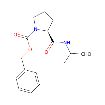 CC(C=O)NC(=O)[C@@H]1CCCN1C(=O)OCc1ccccc1